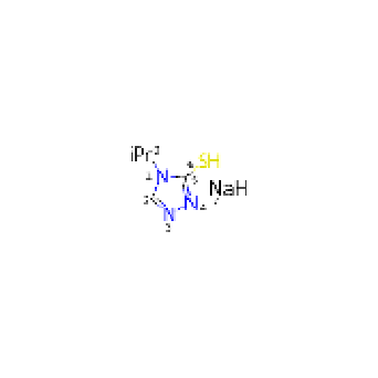 CC(C)n1cnnc1S.[NaH]